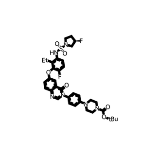 CCc1c(NS(=O)(=O)N2CC[C@@H](F)C2)ccc(F)c1Oc1ccc2ncn(-c3ccc(N4CCN(C(=O)OC(C)(C)C)CC4)cc3)c(=O)c2c1